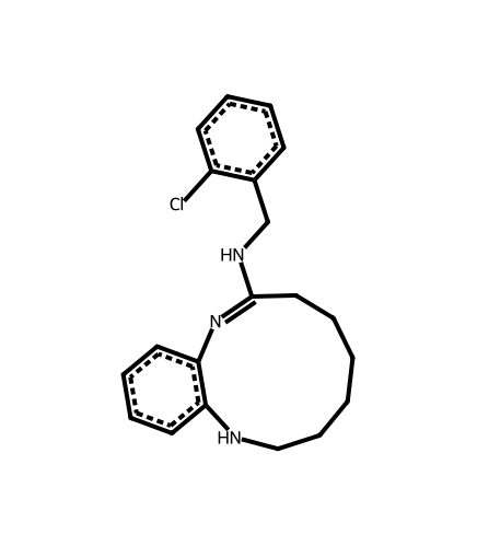 Clc1ccccc1CN/C1=N/c2ccccc2NCCCCCC1